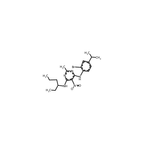 CCCC(CC)Nc1nc(C)nc(Nc2ccc(C(C)C)cc2Br)c1[N+](=O)[O-]